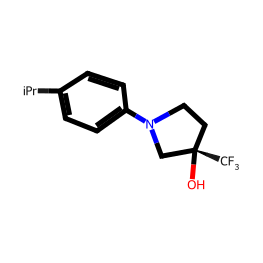 CC(C)c1ccc(N2CC[C@@](O)(C(F)(F)F)C2)cc1